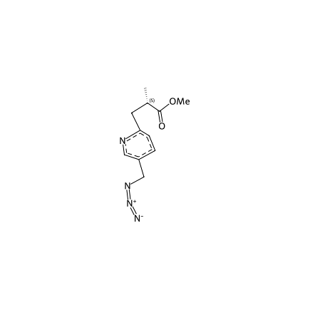 COC(=O)[C@@H](C)Cc1ccc(CN=[N+]=[N-])cn1